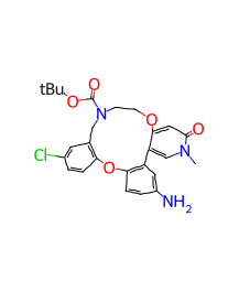 Cn1cc2c(cc1=O)OCCN(C(=O)OC(C)(C)C)Cc1cc(Cl)ccc1Oc1ccc(N)cc1-2